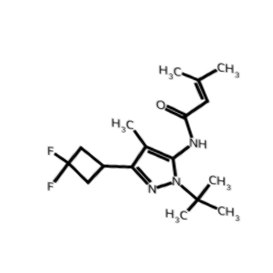 CC(C)=CC(=O)Nc1c(C)c(C2CC(F)(F)C2)nn1C(C)(C)C